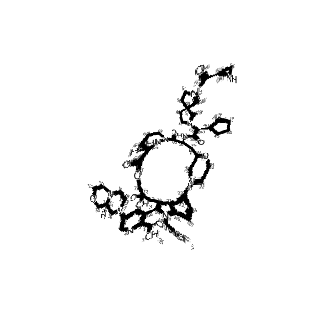 CO[C@@H](C)c1ncc(N2CCN3CCOC[C@@H]3C2)cc1-c1c2c3cc(ccc3n1CC(F)(F)F)N1CCO[C@@H](C[C@H](NC(=O)[C@H](C3CCCC3)N3CC[C@]4(CCN(C(=O)[C@H]5CN5)C4)C3)C(=O)N3CCC[C@H](N3)C(=O)OCC(C)(C)C2)C1